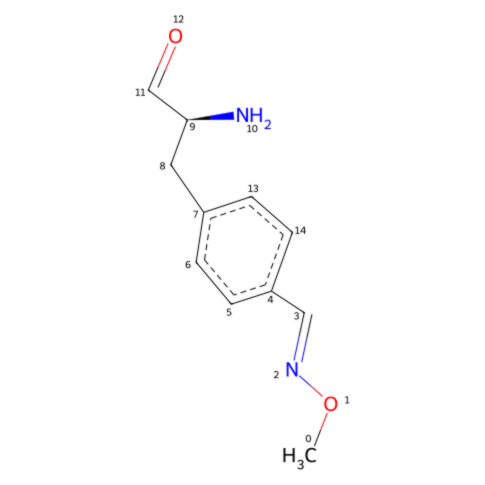 CO/N=C/c1ccc(C[C@H](N)C=O)cc1